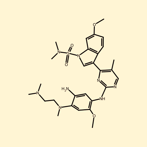 COc1ccc2c(-c3nc(Nc4cc(N)c(N(C)CCN(C)C)cc4OC)ncc3C)cn(S(=O)(=O)N(C)C)c2c1